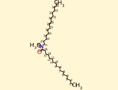 CCCCCCCCCCCCCCCCCC(=O)N(C)CCCCCCCCCCCCCCCC